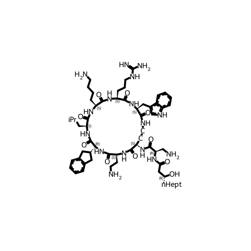 CCCCCCC[C@@H](O)CC(=O)N[C@H](CN)C(=O)N[C@H]1CCNC(=O)[C@H](Cc2c[nH]c3ccccc23)NC(=O)[C@H](CCCNC(=N)N)NC(=O)[C@H](CCCCN)NC(=O)[C@H](CC(C)C)NC(=O)[C@@H](C2Cc3ccccc3C2)NC(=O)[C@H](CCN)NC1=O